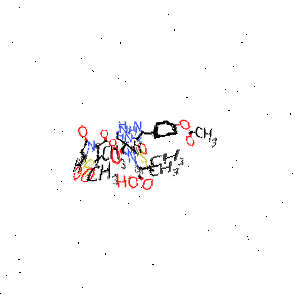 CC(=O)Oc1ccc(C(N)C(=O)N[C@]2(C(CN)OC(=O)[C@@H]3N4C(=O)C[C@H]4S(=O)(=O)C3(C)C)C(=O)N3[C@@H](C(=O)O)C(C)(C)S[C@@H]32)cc1